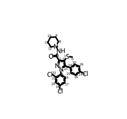 CSc1c(C(=O)NN2CCCCC2)nn(-c2ccc(Cl)cc2Cl)c1-c1ccc(Cl)cc1